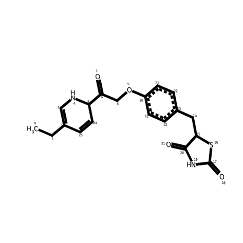 CCC1=CNC(C(=O)COc2ccc(CC3SC(=O)NC3=O)cc2)C=C1